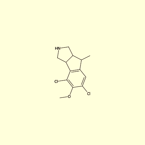 COc1c(Cl)cc2c(c1Cl)C1CNCC1C2C